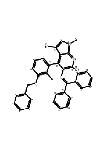 Cc1c(OCc2ccccc2)cccc1-c1c(N=C(c2ccccc2)c2ccccc2)c(C#N)nc2c1c(Br)cn2C